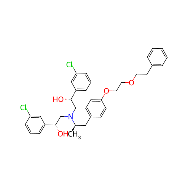 C[C@H](Cc1ccc(OCCOCCc2ccccc2)cc1)N(C[C@H](O)c1cccc(Cl)c1)C[C@H](O)c1cccc(Cl)c1